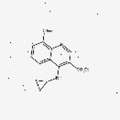 CCOC(=O)c1cnc2c(OC)cccc2c1NC1CC1